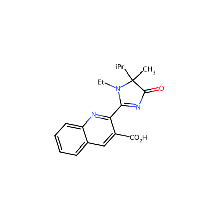 CCN1C(c2nc3ccccc3cc2C(=O)O)=NC(=O)C1(C)C(C)C